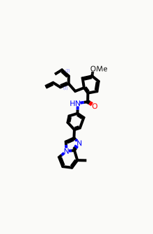 C=C/C=C(\C=C/C)Cc1cc(OC)ccc1C(=O)Nc1ccc(-c2cn3cccc(C)c3n2)cc1